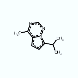 Cc1ncnn2c(C(C)C)ccc12